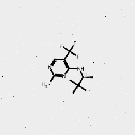 C[C@H](Nc1nc(N)ncc1C(F)(F)F)C(C)(C)C